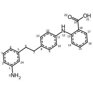 Nc1cccc(CCc2ccc(Nc3ccccc3C(=O)O)cc2)c1